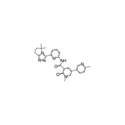 Cc1ccc(-c2cc(C(=O)Nc3cccc(-c4nnc5n4C(C)(C)CC5)n3)c(=O)n(C)c2)cn1